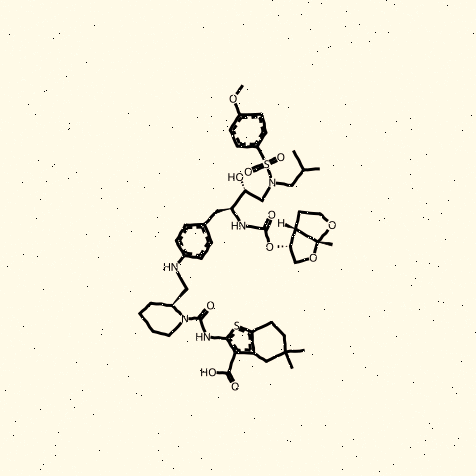 COc1ccc(S(=O)(=O)N(CC(C)C)C[C@@H](O)[C@H](Cc2ccc(NC[C@@H]3CCCCN3C(=O)Nc3sc4c(c3C(=O)O)CC(C)(C)CC4)cc2)NC(=O)O[C@H]2CO[C@@]3(C)OCC[C@@H]23)cc1